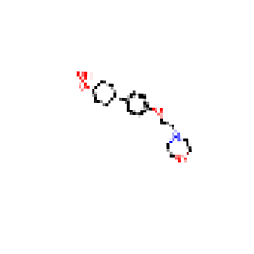 OO[C@H]1CC[C@@H](c2ccc(OCCN3CCOCC3)cc2)CC1